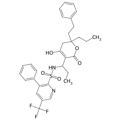 CCCC1(CCc2ccccc2)CC(O)=C(C(CC)NS(=O)(=O)c2ncc(C(F)(F)F)cc2-c2ccccc2)C(=O)O1